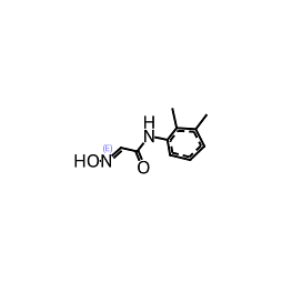 Cc1cccc(NC(=O)/C=N/O)c1C